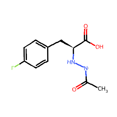 CC(=O)[N]N[C@@H](Cc1ccc(F)cc1)C(=O)O